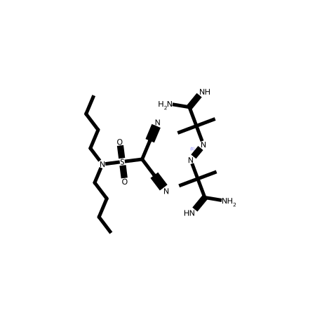 CC(C)(/N=N/C(C)(C)C(=N)N)C(=N)N.CCCCN(CCCC)S(=O)(=O)C(C#N)C#N